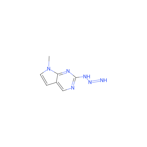 Cn1ccc2cnc(NN=N)nc21